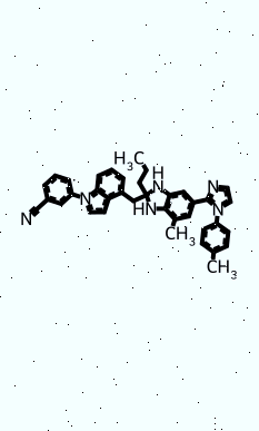 CCCC1(Cc2cccc3c2ccn3-c2[c]ccc(C#N)c2)Nc2cc(-c3nccn3-c3ccc(C)cc3)cc(C)c2N1